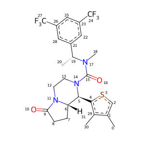 Cc1csc([C@H]2[C@@H]3CCC(=O)N3CCN2C(=O)N(C)[C@H](C)c2cc(C(F)(F)F)cc(C(F)(F)F)c2)c1C